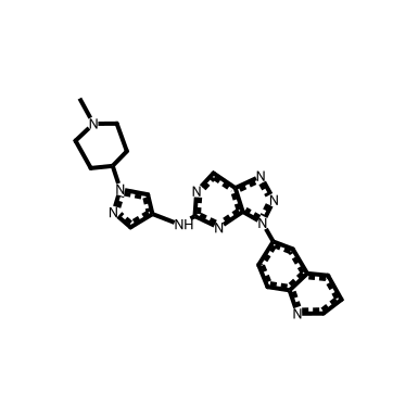 CN1CCC(n2cc(Nc3ncc4nnn(-c5ccc6ncccc6c5)c4n3)cn2)CC1